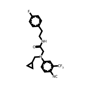 [C-]#[N+]c1ccc(N(CC(=O)NCCc2ccc(F)cc2)CC2CC2)cc1C(F)(F)F